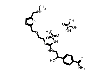 CNCc1ccc(CSCC/N=C(/NCC(O)c2ccc(C(N)=O)cc2)NS(C)(=O)=O)o1.O=P(O)(O)O